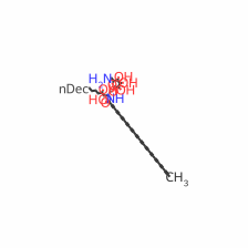 CC#CC#CC#CC#CC#CC#CC#CC#CC#CC#CC#CC#CC(=O)N[C@@H](COC1OC(CN)C(O)C(O)C1O)[C@H](O)C(O)CCCCCCCCCCCCCC